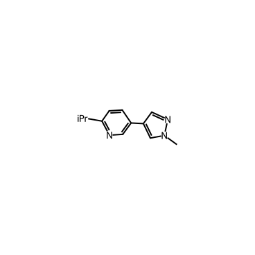 CC(C)c1ccc(-c2cnn(C)c2)cn1